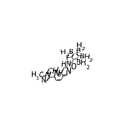 Bc1c(B)c(B)c(C(=O)Nc2cc3nc(-c4cnc(C)n4C)ccc3cn2)c(F)c1B